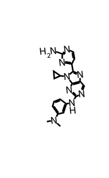 CN(C)c1cccc(Nc2ncc3nc(-c4ccnc(N)n4)n(C4CC4)c3n2)c1